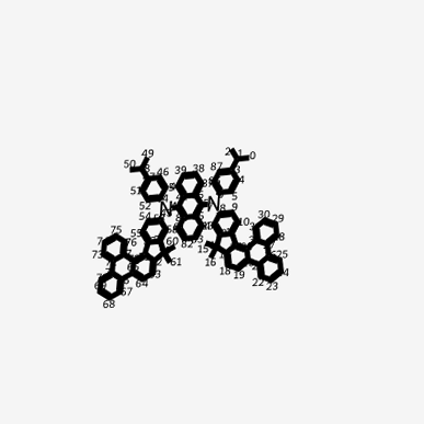 CC(C)c1ccc(N(c2ccc3c(c2)C(C)(C)c2ccc4c5ccccc5c5ccccc5c4c2-3)c2c3ccccc3c(N(c3ccc(C(C)C)cc3)c3ccc4c(c3)C(C)(C)c3ccc5c6ccccc6c6ccccc6c5c3-4)c3ccccc23)cc1